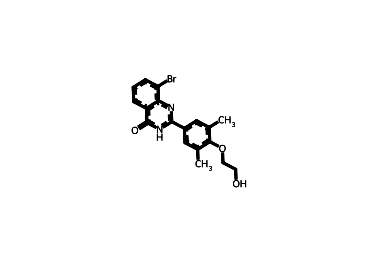 Cc1cc(-c2nc3c(Br)cccc3c(=O)[nH]2)cc(C)c1OCCO